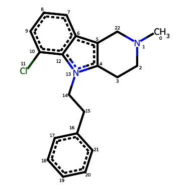 CN1CCc2c(c3cccc(Cl)c3n2CCc2ccccc2)C1